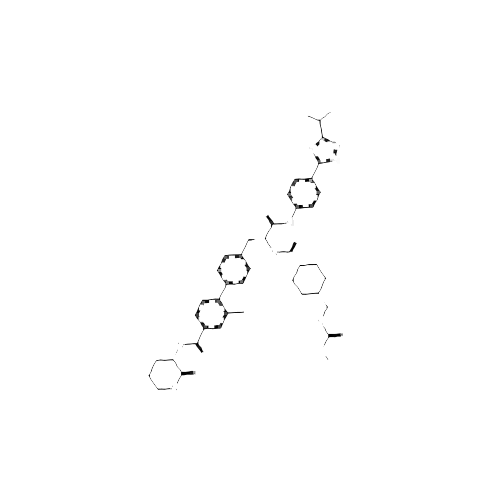 Cc1cc(C(=O)N[C@@H]2CCCNC2=O)ccc1-c1ccc(C[C@H](NC(=O)[C@H]2CC[C@H](CNC(=O)OC(C)(C)C)CC2)C(=O)Nc2ccc(-c3nc(C(F)F)n[nH]3)cc2)cc1